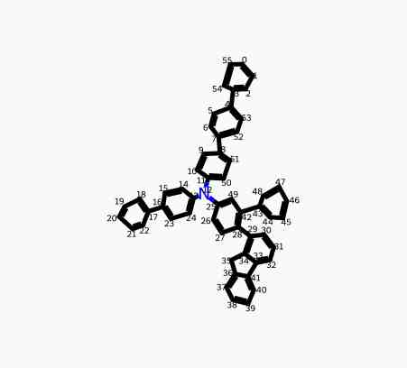 c1ccc(-c2ccc(-c3ccc(N(c4ccc(-c5ccccc5)cc4)c4ccc(-c5cccc6c5Cc5ccccc5-6)c(-c5ccccc5)c4)cc3)cc2)cc1